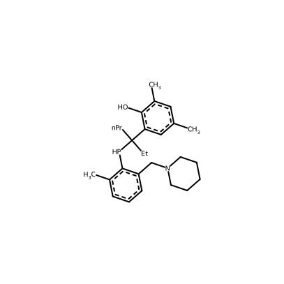 CCCC(CC)(Pc1c(C)cccc1CN1CCCCC1)c1cc(C)cc(C)c1O